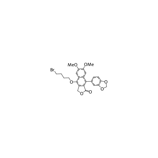 COc1cc2c(OCCCCBr)c3c(c(-c4ccc5c(c4)OCO5)c2cc1OC)C(=O)OC3